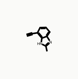 C#Cc1cccc2nc(C)[nH]c12